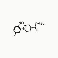 Cc1ccc([N+](=O)[O-])c(N2CCN(C(=O)OC(C)(C)C)CC2)c1